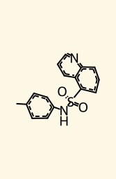 Cc1ccc(NS(=O)(=O)c2cccc3ncccc23)cc1